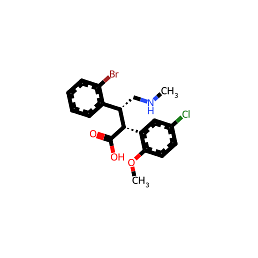 CNC[C@@H](c1ccccc1Br)[C@@H](C(=O)O)c1cc(Cl)ccc1OC